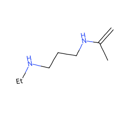 C=C(C)NCCCNCC